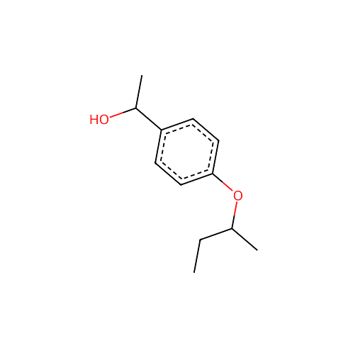 CCC(C)Oc1ccc(C(C)O)cc1